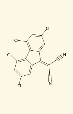 N#CC(C#N)=C1c2cc(Cl)cc(Cl)c2-c2c(Cl)cc(Cl)cc21